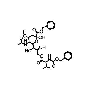 CC(=O)NC1C(O)CC(O)(C(=O)OCc2ccccc2)OC1C(O)C(O)COC(=O)C(NC(=O)OCc1ccccc1)C(C)C